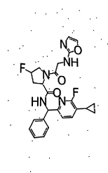 O=C(NC(c1ccccc1)c1ccc(C2CC2)c(F)n1)C1CC(F)CN1C(=O)CNc1ncco1